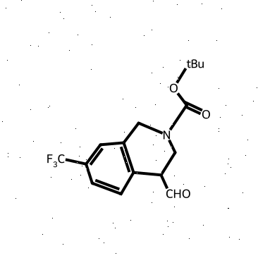 CC(C)(C)OC(=O)N1Cc2cc(C(F)(F)F)ccc2C(C=O)C1